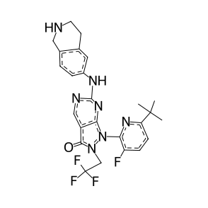 CC(C)(C)c1ccc(F)c(-n2c3nc(Nc4ccc5c(c4)CCNC5)ncc3c(=O)n2CC(F)(F)F)n1